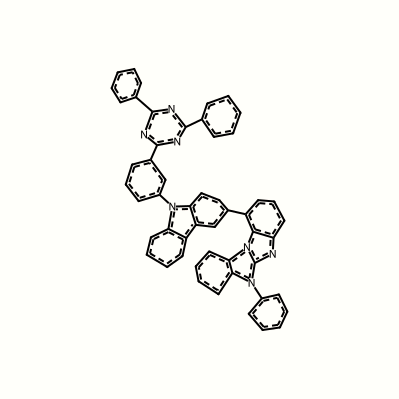 c1ccc(-c2nc(-c3ccccc3)nc(-c3cccc(-n4c5ccccc5c5cc(-c6cccc7nc8n(-c9ccccc9)c9ccccc9n8c67)ccc54)c3)n2)cc1